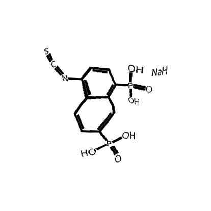 O=P(O)(O)c1ccc2c(N=C=S)ccc(P(=O)(O)O)c2c1.[NaH]